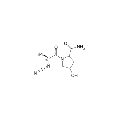 CC(C)[C@H](N=[N+]=[N-])C(=O)N1CC(O)CC1C(N)=O